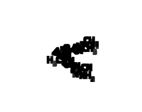 CC(C)(O)Cn1cc(-c2nc([C@@](C)(c3ccc(-c4cnc(N)c(C#N)n4)nc3)C3CC3)no2)cn1